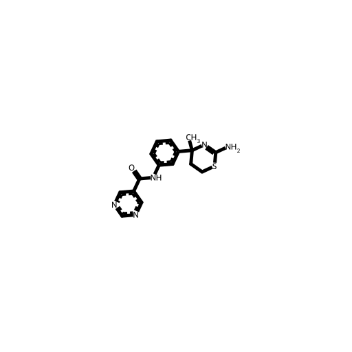 CC1(c2cccc(NC(=O)c3cncnc3)c2)CCSC(N)=N1